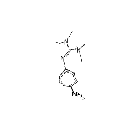 CN(C)C(=Nc1ccc(N)cc1)N(C)C